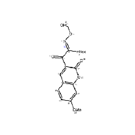 CCCCCC/C(=N\OC=O)C(=O)c1cc2ccc(OC)cc2oc1=O